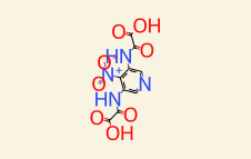 O=C(O)C(=O)Nc1cncc(NC(=O)C(=O)O)c1[N+](=O)[O-]